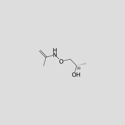 C=C(C)NOC[C@H](C)O